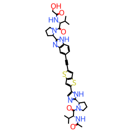 CC(=O)N[C@@H](C(=O)N1CCC[C@@H]1c1ncc(-c2cc3sc(C#Cc4ccc5[nH]c(C6CCCN6C(=O)[C@H](NC(=O)CO)C(C)C)nc5c4)cc3s2)[nH]1)C(C)C